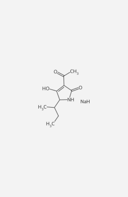 CCC(C)C1NC(=O)C(C(C)=O)=C1O.[NaH]